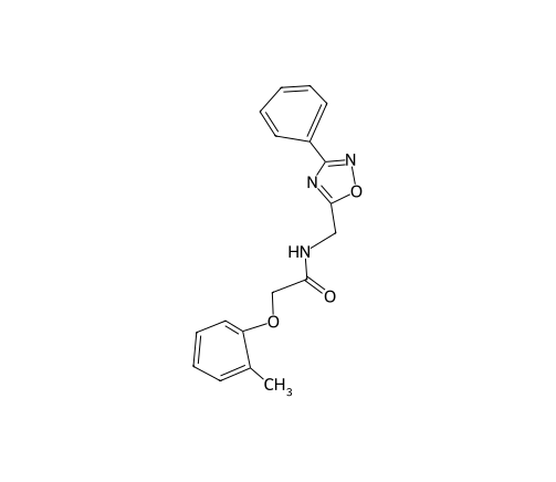 Cc1ccccc1OCC(=O)NCc1nc(-c2ccccc2)no1